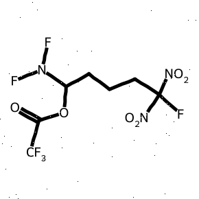 O=C(OC(CCCC(F)([N+](=O)[O-])[N+](=O)[O-])N(F)F)C(F)(F)F